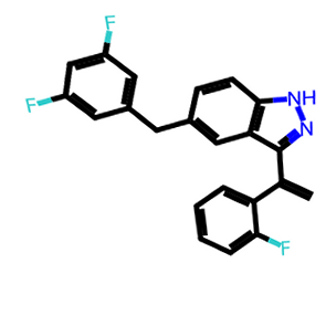 C=C(c1ccccc1F)c1n[nH]c2ccc(Cc3cc(F)cc(F)c3)cc12